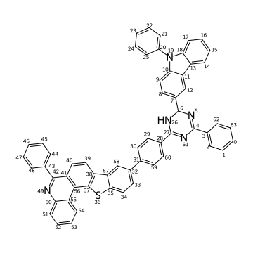 c1ccc(C2=NC(c3ccc4c(c3)c3ccccc3n4-c3ccccc3)NC(c3ccc(-c4ccc5sc6c(ccc7c(-c8ccccc8)nc8ccccc8c76)c5c4)cc3)=N2)cc1